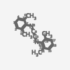 Cc1cccc(C)c1N=C=C=Nc1c(C)cccc1C